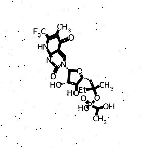 CCC(C)(C[C@H]1O[C@@H](n2cc3c(=O)c(C)c(C(F)(F)F)[nH]c3nc2=O)[C@@H](O)C1O)OP(=O)(O)C(C)O